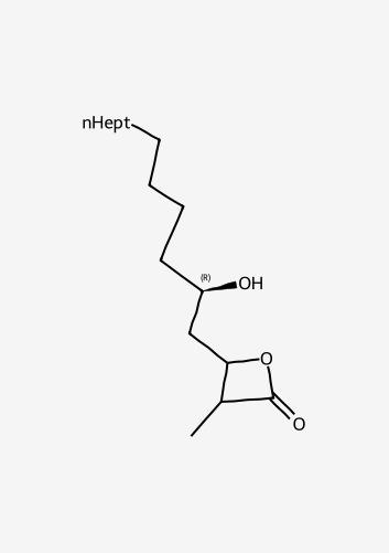 CCCCCCCCCCC[C@@H](O)CC1OC(=O)C1C